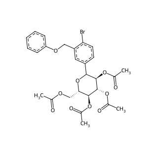 CC(=O)OC[C@@H]1OC(c2ccc(Br)c(COc3ccccc3)c2)[C@@H](OC(C)=O)[C@H](OC(C)=O)[C@H]1OC(C)=O